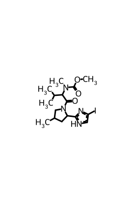 COC(=O)N(C)C(C(=O)N1CC(C)CC1c1nc(I)c[nH]1)C(C)C